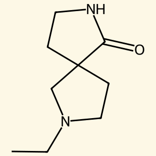 CCN1CCC2(CCNC2=O)C1